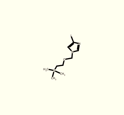 CS(C)(C)CCOCn1cnc(I)c1